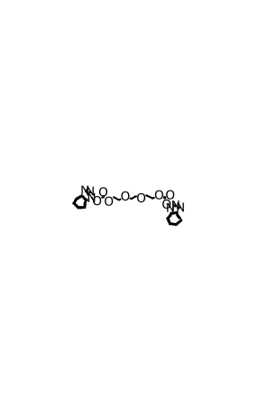 O=C(OCCOCCOCCOC(=O)On1nnc2ccccc21)On1nnc2ccccc21